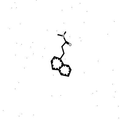 CN(C)C(=O)CCc1cccc2ccccc12